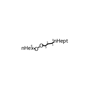 CCCCCCCCCCOOCCCCCC